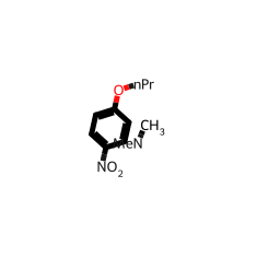 CCCOc1ccc([N+](=O)[O-])cc1.CNC